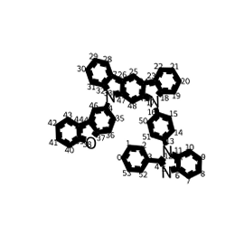 c1ccc(-c2nc3ccccc3n2-c2ccc(-n3c4ccccc4c4cc5c6ccccc6n(-c6ccc7oc8ccccc8c7c6)c5cc43)cc2)cc1